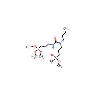 CCCCN(CCC[Si](C)(O)OC)C(=O)NCCC[Si](OC)(OC)OC